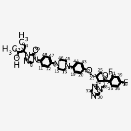 CCC(C(C)O)n1ncn(-c2ccc(N3CCN(c4ccc(OC[C@@H]5CO[C@@](Cn6cncn6)(c6ccc(F)cc6F)C5)cc4)CC3)cc2)c1=O